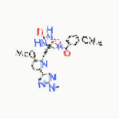 COc1ccc2c(c1)C(=O)N(C[C@@]1(C#Cc3nc(-c4cnc(N(C)C)nc4)ccc3OC)NC(=O)NC1=O)C2